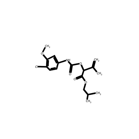 C=C(C)C(OC(=O)Nc1ccc(Cl)c(OC)c1)C(=O)OCC(C)C